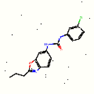 CCCc1nc2ccc(NC(=O)Nc3cccc(Cl)c3)cc2o1